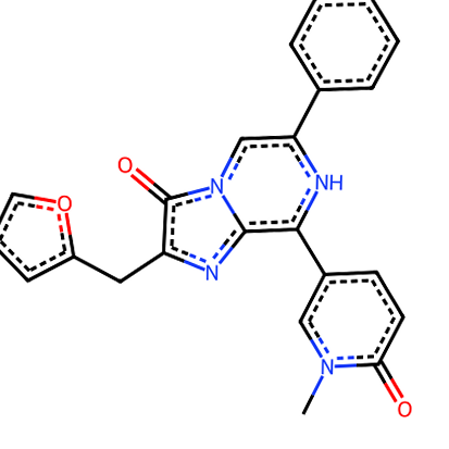 Cn1cc(-c2[nH]c(-c3ccccc3)cn3c(=O)c(Cc4ccco4)nc2-3)ccc1=O